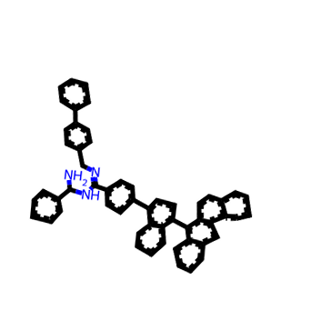 NC(N/C(=N\Cc1ccc(-c2ccccc2)cc1)c1ccc(-c2ccc(-c3c4ccccc4cc4c3ccc3ccccc34)c3ccccc23)cc1)c1ccccc1